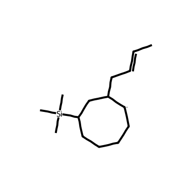 CC=CCC1[CH]CCCCC([Si](C)(C)C)C1